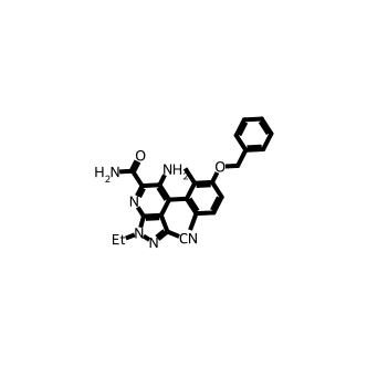 CCn1nc(C#N)c2c(-c3c(C)ccc(OCc4ccccc4)c3C)c(N)c(C(N)=O)nc21